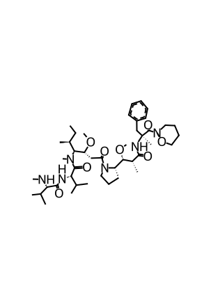 CC[C@H](C)[C@@H]([C@@H](CC(=O)N1CCC[C@H]1[C@H](OC)[C@@H](C)C(=O)N[C@@](C)(Cc1ccccc1)C(=O)N1CCCCO1)OC)N(C)C(=O)[C@@H](NC(=O)[C@@H](NC)C(C)C)C(C)C